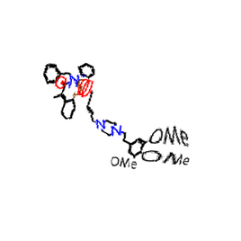 COc1cc(CCN2CCN(CCCCOc3ccccc3[N+]3(Cc4ccccc4)C(=O)C(C)=C4C=CC=CC4[S+]3[O-])CC2)cc(OC)c1OC